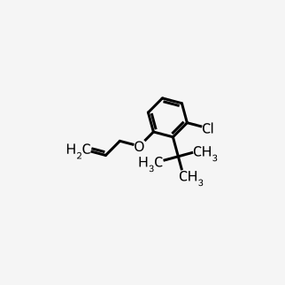 C=CCOc1cccc(Cl)c1C(C)(C)C